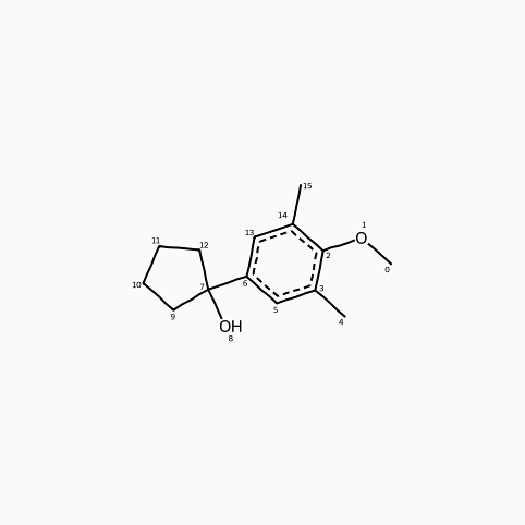 COc1c(C)cc(C2(O)CCCC2)cc1C